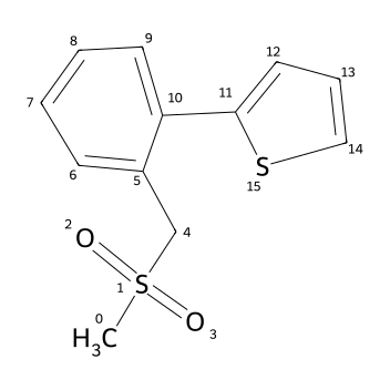 CS(=O)(=O)Cc1ccccc1-c1cccs1